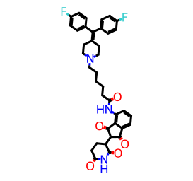 O=C1CCC(C2C(=O)c3cccc(NC(=O)CCCCCN4CCC(=C(c5ccc(F)cc5)c5ccc(F)cc5)CC4)c3C2=O)C(=O)N1